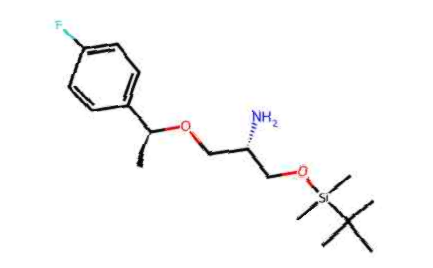 C[C@H](OC[C@H](N)CO[Si](C)(C)C(C)(C)C)c1ccc(F)cc1